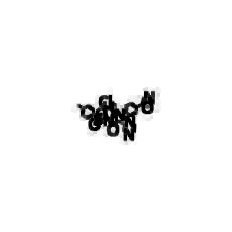 Cc1ccc(S(=O)(=O)CNC(=O)C(c2cnccn2)N(C(=O)CCl)c2ccc(-c3cnco3)cc2)cc1